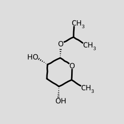 CC(C)O[C@@H]1OC(C)[C@H](O)C[C@@H]1O